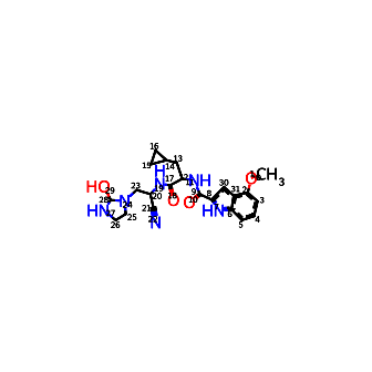 COc1cccc2[nH]c(C(=O)NC(CC3CC3)C(=O)NC(C#N)CN3CCNC3O)cc12